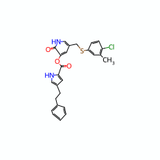 Cc1cc(SCc2c[nH]c(=O)c(OC(=O)c3cc(CCc4ccccc4)c[nH]3)c2)ccc1Cl